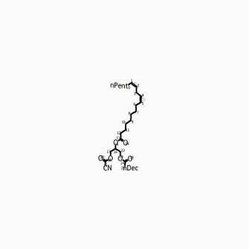 CCCCC/C=C\C/C=C\CCCCCCCC(=O)OC(COC(=O)C#N)COC(=O)CCCCCCCCCC